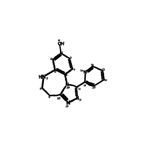 Oc1ccc2c(c1)NCCc1nnc(-c3ccccn3)n1-2